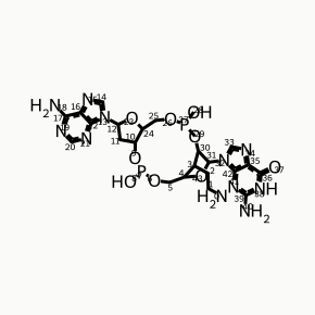 NCCC1C2COP(O)OC3CC(n4cnc5c(N)ncnc54)OC3COP(O)OC1C(n1cnc3c(=O)[nH]c(N)nc31)O2